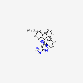 COc1ccc(C(Nc2n[c]nc3nc[nH]c23)(c2ccccc2)c2ccccc2)cc1